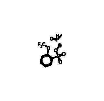 C[PH](=O)OOS(=O)(=O)c1ccccc1OC(F)(F)F